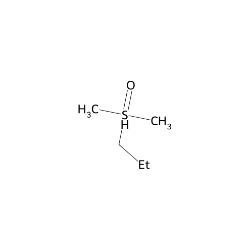 CCC[SH](C)(C)=O